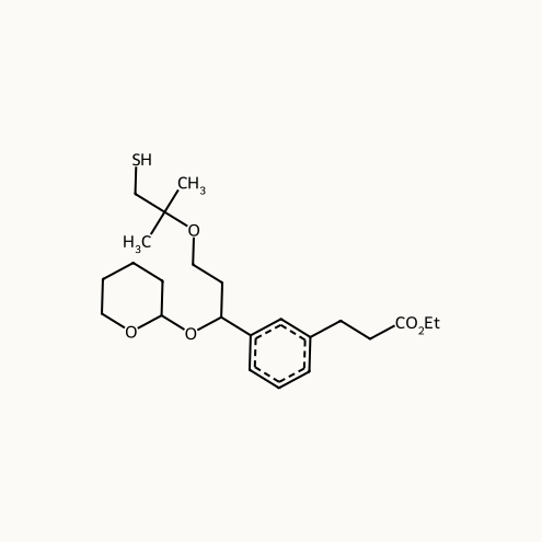 CCOC(=O)CCc1cccc(C(CCOC(C)(C)CS)OC2CCCCO2)c1